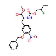 CCC(F)COC(=O)NC(Cc1ccc([N+](=O)[O-])c(OCc2ccccc2)c1)C(=O)OC